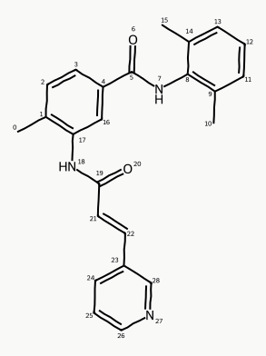 Cc1ccc(C(=O)Nc2c(C)cccc2C)cc1NC(=O)/C=C/c1cccnc1